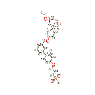 CCOC(=O)CC1(c2ccc(OCc3cccc(-c4ccc(OCCCS(C)(=O)=O)cc4C)c3)cc2)COC1